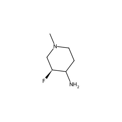 CN1CCC(N)[C@@H](F)C1